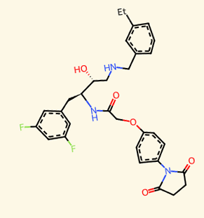 CCc1cccc(CNC[C@@H](O)[C@H](Cc2cc(F)cc(F)c2)NC(=O)COc2ccc(N3C(=O)CCC3=O)cc2)c1